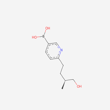 C[C@H](CO)CCc1ccc(B(O)O)cn1